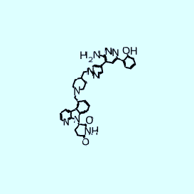 Nc1nnc(-c2ccccc2O)cc1-c1cnn(CC2CCN(Cc3cccc4c3c3cccnc3n4C3CCC(=O)NC3=O)CC2)c1